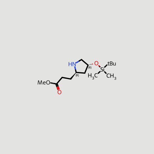 COC(=O)CC[C@@H]1C[C@@H](O[Si](C)(C)C(C)(C)C)CN1